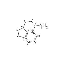 NC1CCC2CCc3cccc1c32